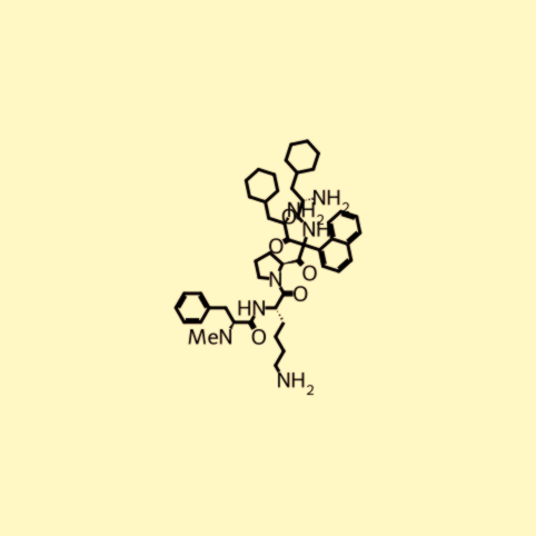 CN[C@@H](Cc1ccccc1)C(=O)N[C@@H](CCCCN)C(=O)N1CCC[C@H]1C(=O)C(NC(=O)[C@@H](N)CC1CCCCC1)(C(=O)[C@H](N)CC1CCCCC1)c1cccc2ccccc12